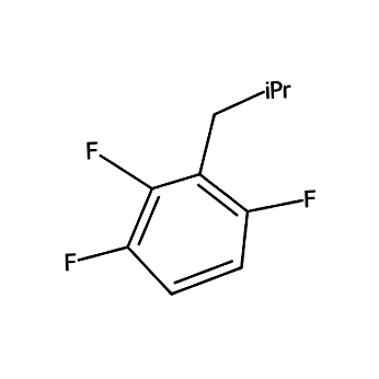 CC(C)Cc1c(F)ccc(F)c1F